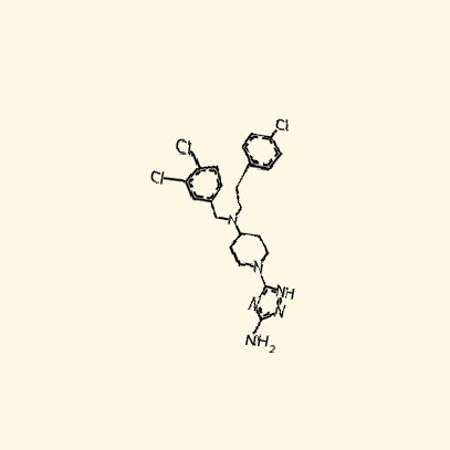 Nc1n[nH]c(N2CCC(N(CCc3ccc(Cl)cc3)Cc3ccc(Cl)c(Cl)c3)CC2)n1